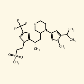 CC(C)c1cc(N2CCOCC2C[C@H](C)c2cc(C(F)(F)F)nn2CCS(C)(=O)=O)nn1C